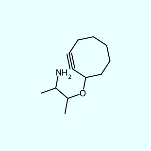 CC(N)C(C)OC1C#CCCCCC1